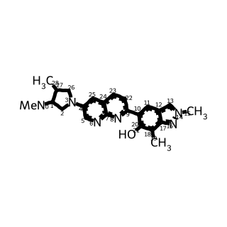 CNC1CN(c2cnc3nc(-c4cc5cn(C)nc5c(C)c4O)ccc3c2)CC1C